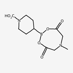 CN1CC(=O)OB(C2CCN(C(=O)O)CC2)OC(=O)C1